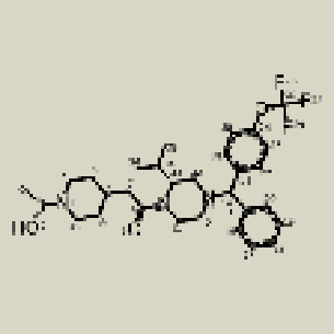 CB(O)N1CCC(CC(=O)N2CCN(C(c3ccccc3)c3ccc(OC(F)(F)F)cc3)C[C@@H]2C(C)C)CC1